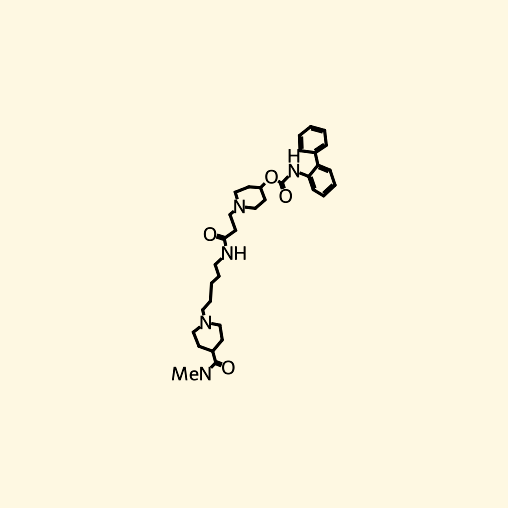 CNC(=O)C1CCN(CCCCCNC(=O)CCN2CCC(OC(=O)Nc3ccccc3-c3ccccc3)CC2)CC1